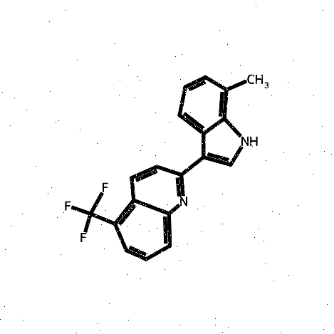 Cc1cccc2c(-c3ccc4c(C(F)(F)F)cccc4n3)c[nH]c12